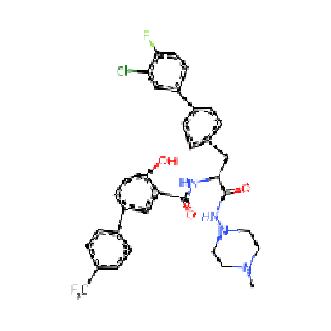 CN1CCN(NC(=O)[C@H](Cc2ccc(-c3ccc(F)c(Cl)c3)cc2)NC(=O)c2cc(-c3ccc(C(F)(F)F)cc3)ccc2O)CC1